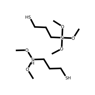 CO[SiH](CCCS)OC.CO[Si](CCCS)(OC)OC